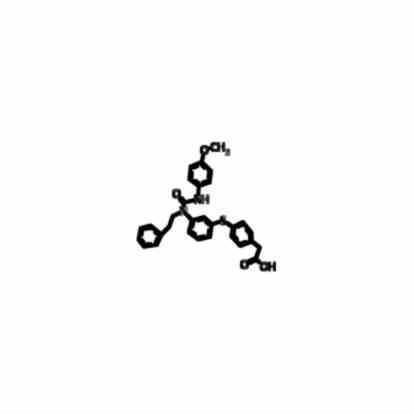 COc1ccc(NC(=O)N(CCc2ccccc2)c2cccc(Sc3ccc(CC(=O)O)cc3)c2)cc1